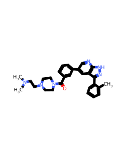 Cc1ccccc1-c1n[nH]c2ncc(-c3cccc(C(=O)N4CCN(CCN(C)C)CC4)c3)cc12